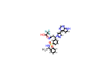 C[C@H](NS(=O)(=O)c1cccc(C(CC#N)n2cc(-c3ncnc4[nH]ccc34)cn2)c1)c1ccccc1.O=C(O)C(F)(F)F